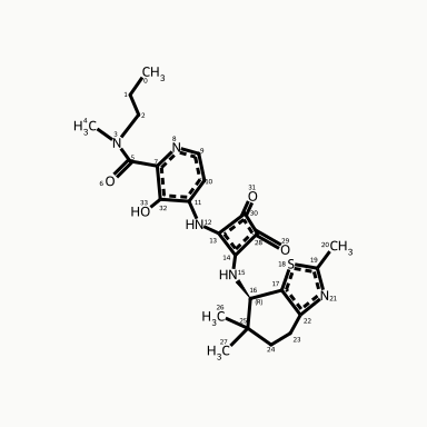 CCCN(C)C(=O)c1nccc(Nc2c(N[C@H]3c4sc(C)nc4CCC3(C)C)c(=O)c2=O)c1O